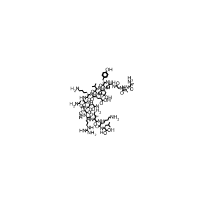 CC[C@H](C)[C@H](NC(=O)[C@H](CCCNC(=N)N)NC(=O)[C@H](CO)NC(=O)[C@H](CC(N)=O)NC(=O)[C@H](CC(N)=O)NC(=O)[C@H](CCCCN)NC(=O)[C@H](CCC(=O)O)NC(=O)[C@@H](NC(=O)[C@H](CC(=O)O)NC(=O)[C@H](Cc1ccc(O)cc1)NC(=O)CNC(=O)CNC(=O)[C@H](C)NC(=O)[C@H](C)N)C(C)C)C(=O)N[C@@H](CCCCN)C(=O)N[C@@H](CC(C)C)C(=O)O